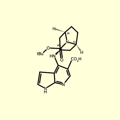 CC(C)(C)OC(=O)N1[C@@H]2CC[C@H]1C[C@@H](Nc1c(C(=O)O)cnc3[nH]ccc13)C2